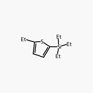 CCc1ccc([Si](CC)(CC)CC)s1